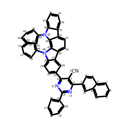 N#Cc1c(-c2ccc3ccccc3c2)nc(-c2ccccc2)nc1-c1ccc2c(c1)c1ccc3c4ccccc4n(-c4ccccc4)c3c1n2-c1ccccc1